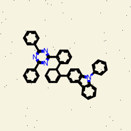 C1=CCC(c2ccccc2-c2nc(-c3ccccc3)nc(-c3ccccc3)n2)C(c2ccc3c(c2)c2ccccc2n3-c2ccccc2)=C1